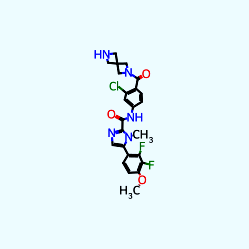 COc1ccc(-c2cnc(C(=O)Nc3ccc(C(=O)N4CC5(CNC5)C4)c(Cl)c3)n2C)c(F)c1F